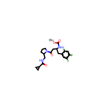 CC(C)(C)OC(=O)NC(CC(=O)N1CCCC1CNC(=O)C1CC1)Cc1cc(F)c(F)cc1F